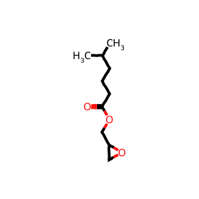 CC(C)CCCC(=O)OCC1CO1